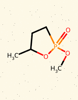 COP1(=O)CCC(C)O1